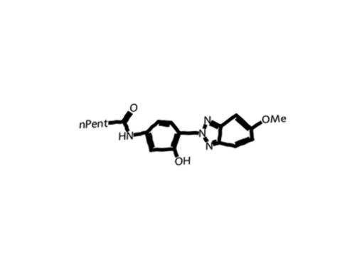 CCCCCC(=O)Nc1ccc(-n2nc3ccc(OC)cc3n2)c(O)c1